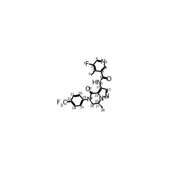 Cc1c(F)cncc1C(=O)Nc1cnn2c1C(=O)N(c1ccc(C(F)(F)F)cc1)C[C@@H]2C